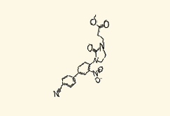 COC(=O)CCN1CCN(c2ccc(-c3ccc(C#N)cc3)cc2[N+](=O)[O-])C1=O